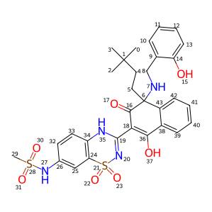 CC(C)(C)CCC1(NCc2ccccc2O)C(=O)C(C2=NS(=O)(=O)c3cc(NS(C)(=O)=O)ccc3N2)=C(O)c2ccccc21